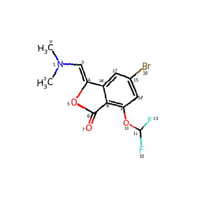 CN(C)C=C1OC(=O)c2c(OC(F)F)cc(Br)cc21